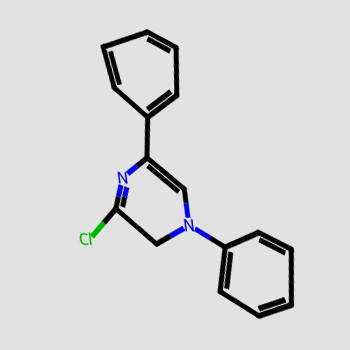 ClC1=NC(c2ccccc2)=CN(c2ccccc2)C1